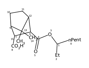 CCCCCC(CC)OC(=O)C1C(C(=O)O)C2CCC1C2(C)C